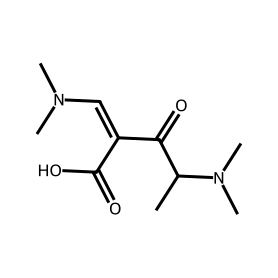 CC(C(=O)C(=CN(C)C)C(=O)O)N(C)C